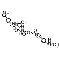 Cc1ncsc1-c1ccc(C(C)NC(=O)[C@@H]2C[C@@H](O)CN2C(=O)C(NC(=O)COCCC(=O)N2CCN(c3ccc(C(C)NC(=O)O)cc3)CC2)C(C)(C)C)cc1